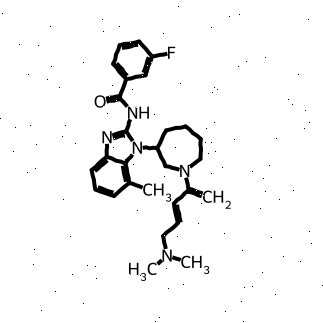 C=C(/C=C/CN(C)C)N1CCCCC(n2c(NC(=O)c3cccc(F)c3)nc3cccc(C)c32)C1